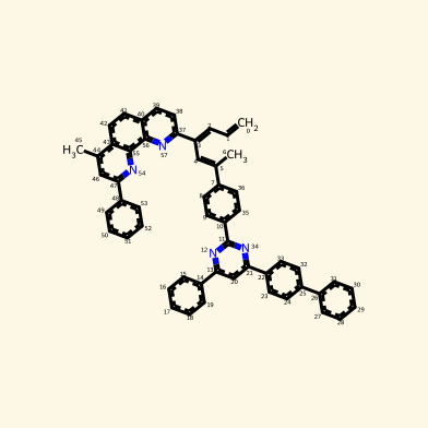 C=C/C=C(\C=C(/C)c1ccc(-c2nc(-c3ccccc3)cc(-c3ccc(-c4ccccc4)cc3)n2)cc1)c1ccc2ccc3c(C)cc(-c4ccccc4)nc3c2n1